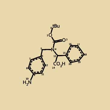 CC(C)(C)OC(=O)N(Cc1ccc(N)cc1)C(C(=O)O)c1ccccc1